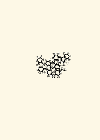 Cc1ccccc1N(c1ccc2c(c1)N(c1cccc3c1C1CC=CC=C1O3)c1cc(C(C)(C)C)cc3c1B2c1cccc2c4c(n-3c12)C(C)(C)c1ccccc1-4)c1ccccc1C